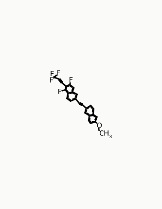 CCOc1ccc2cc(C#Cc3ccc4c(F)c(C#CC(F)(F)F)c(F)cc4c3)ccc2c1